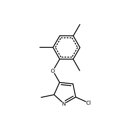 Cc1cc(C)c(OC2=CC(Cl)=NC2C)c(C)c1